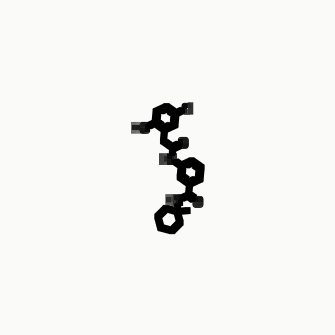 CC1(NC(=O)c2cccc(NC(=O)Cc3cc(Cl)ccc3O)c2)CCCCC1